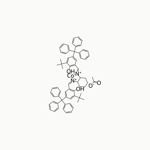 CC(=O)[O-].CC(C)(C)c1cc(C(c2ccccc2)(c2ccccc2)c2ccccc2)cc(C=[N+]2[Co][N+](=Cc3cc(C(c4ccccc4)(c4ccccc4)c4ccccc4)cc(C(C)(C)C)c3O)C3CCCCC32)c1O